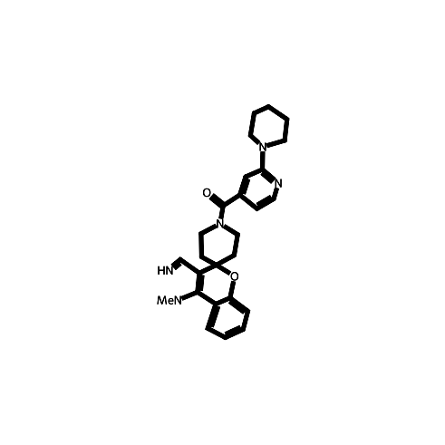 CNC1=C(C=N)C2(CCN(C(=O)c3ccnc(N4CCCCC4)c3)CC2)Oc2ccccc21